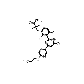 CC(C)(Cc1ccc(Cl)c(-c2nc(-c3ccc(OCCC(F)(F)F)nc3)cc(=O)[nH]2)c1F)C(N)=O